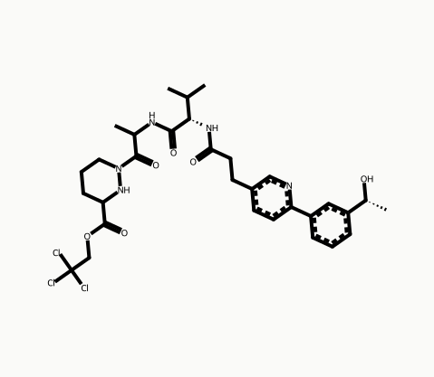 CC(NC(=O)[C@@H](NC(=O)CCc1ccc(-c2cccc([C@@H](C)O)c2)nc1)C(C)C)C(=O)N1CCCC(C(=O)OCC(Cl)(Cl)Cl)N1